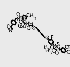 C[C@@H]1C[C@@H](C(=O)NCc2ccc(-c3cnco3)cc2)N(C(=O)[C@@H](NC(=O)COCC#CC#CCOc2ccc(N3C(=S)N(c4ccc(C#N)c(C(F)(F)F)c4)C(=O)C3(C)C)cc2F)C(C)(C)C)C1